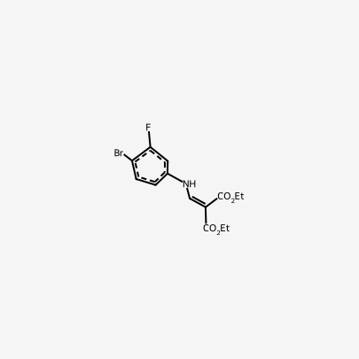 CCOC(=O)C(=CNc1ccc(Br)c(F)c1)C(=O)OCC